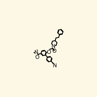 CN(C)C(=O)c1ccc(OCC(=O)N2CCC(CCc3ccccc3)CC2)c(-c2ccc(C#N)cc2)c1